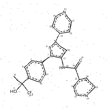 CC(O)(c1ccc(-n2nc(-c3ccncc3)cc2NC(=O)c2ccncc2)cc1)C(F)(F)F